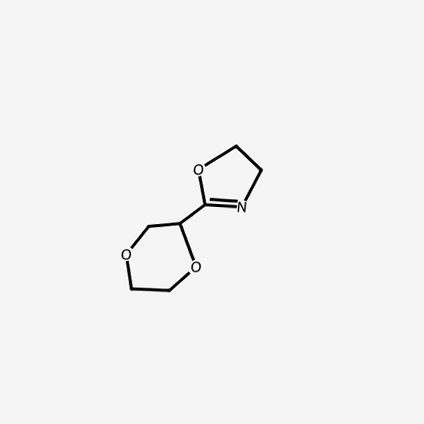 C1COC(C2COCCO2)=N1